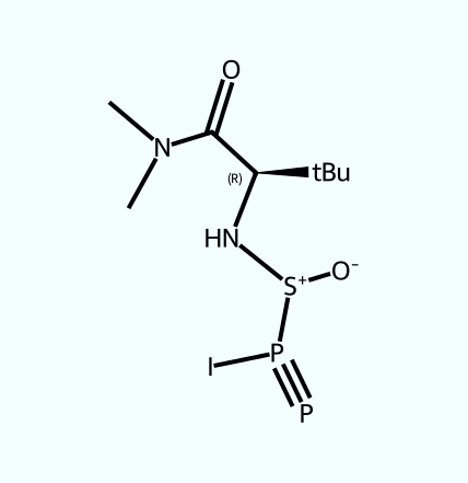 CN(C)C(=O)[C@H](N[S+]([O-])P(#P)I)C(C)(C)C